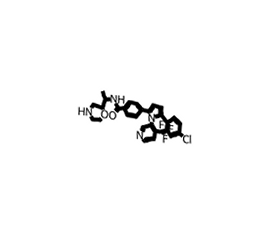 CC(NC(=O)c1ccc(-c2ccc(-c3ccc(Cl)cc3)n2-c2cnccc2C(F)(F)F)cc1)C1CNCCO1